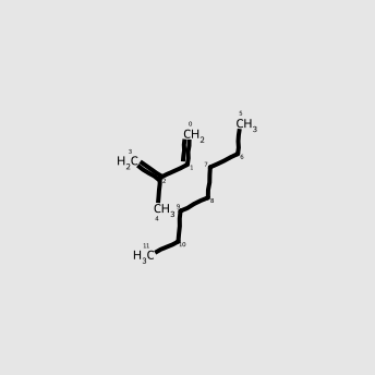 C=CC(=C)C.CCCCCCC